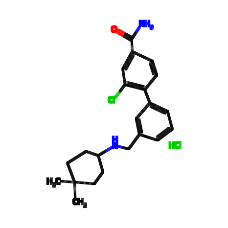 CC1(C)CCC(NCc2cccc(-c3ccc(C(N)=O)cc3Cl)c2)CC1.Cl